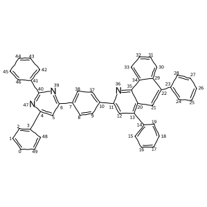 c1ccc(-c2cc(-c3ccc(-c4cc(-c5ccccc5)c5cc(-c6ccccc6)c6ccccc6c5n4)cc3)nc(-c3ccccc3)n2)cc1